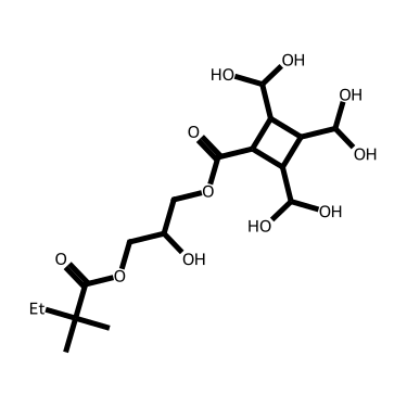 CCC(C)(C)C(=O)OCC(O)COC(=O)C1C(C(O)O)C(C(O)O)C1C(O)O